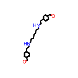 O=Cc1ccc(CCNCCCCCCCNCCc2ccc(C=O)cc2)cc1